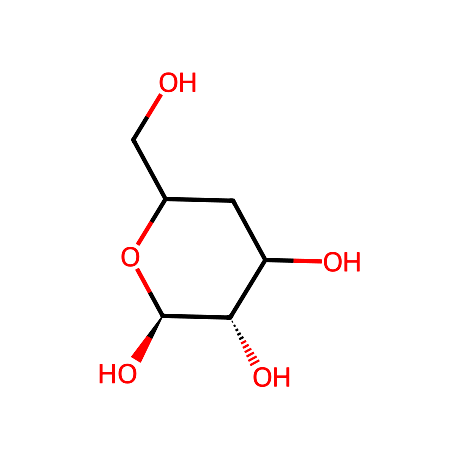 OCC1CC(O)[C@H](O)[C@@H](O)O1